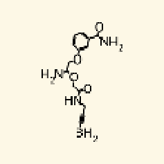 BC#CCNC(=O)COC(N)COc1cccc(C(N)=O)c1